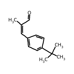 CC(C=O)=Cc1ccc(C(C)(C)C)cc1